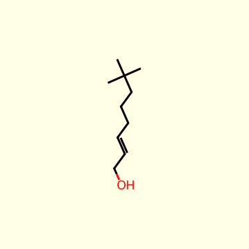 CC(C)(C)CCCC=CCO